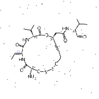 C/C=C1\NC(=O)[C@H](N)CSSCC/C=C/[C@H](CC(=O)N[C@@H](C=O)C(C)C)OC(=O)[C@H](C(C)C)NC1=O